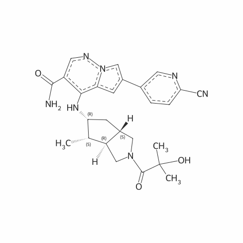 C[C@H]1[C@@H]2CN(C(=O)C(C)(C)O)C[C@H]2C[C@H]1Nc1c(C(N)=O)cnn2cc(-c3ccc(C#N)nc3)cc12